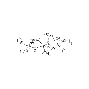 CC(C)C(C)(C)O[SiH](C)C(C)(C)O[Si](C)(C)C